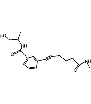 CNC(=O)CCCC#Cc1cccc(C(=O)NC(C)CO)c1